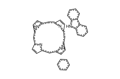 C1=Cc2cc3ccc(cc4nc(cc5ccc(cc1n2)[nH]5)C=C4)[nH]3.c1ccc2c(c1)[nH]c1ccccc12.c1ccccc1